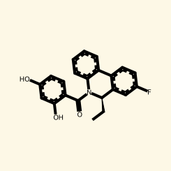 CC[C@@H]1c2cc(F)ccc2-c2ccccc2N1C(=O)c1ccc(O)cc1O